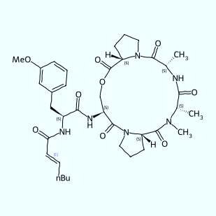 CCCC/C=C/C(=O)N[C@@H](Cc1cccc(OC)c1)C(=O)N[C@H]1COC(=O)[C@@H]2CCCN2C(=O)[C@H](C)NC(=O)[C@H](C)N(C)C(=O)[C@@H]2CCCN2C1=O